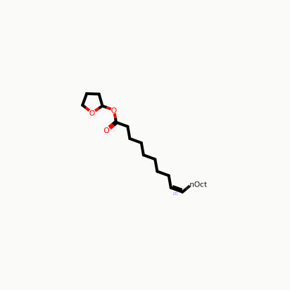 CCCCCCCC/C=C\CCCCCCCC(=O)OC1CCCO1